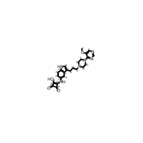 COc1cncnc1N1CCN(CCCc2c[nH]c3ccc(Nc4c(O)c(=O)c4=O)cc23)CC1